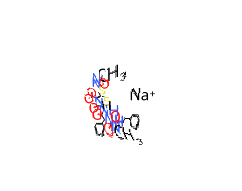 Cc1nnc(SCC2=C(C(=O)[O-])N3C(=O)C(NC(=O)C(NC(=O)N(C)C(=O)C=Cc4ccccc4)c4ccccc4)[C@@H]3SC2)o1.[Na+]